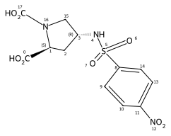 O=C(O)[C@@H]1C[C@@H](NS(=O)(=O)c2ccc([N+](=O)[O-])cc2)CN1C(=O)O